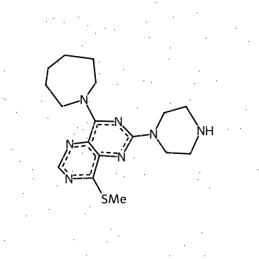 CSc1ncnc2c(N3CCCCCC3)nc(N3CCNCC3)nc12